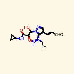 CC(C)Cn1[nH]oc(C(=O)NC2CC2)c(O)n2ncc(/C=C/C=O)c12